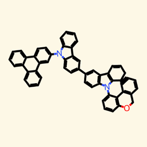 c1ccc2c(c#1)-c1c(cccc1-n1c3c(c4cc(-c5ccc6c(c5)c5ccccc5n6-c5ccc6c7ccccc7c7ccccc7c6c5)ccc41)C=CCC3)OC2